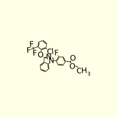 CCOC(=O)c1ccc(-n2nc(Oc3c(Cl)cccc3C(F)(F)F)c3ccccc32)c(F)c1